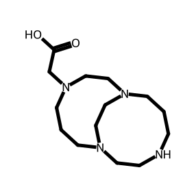 O=C(O)CN1CCCN2CCNCCCN(CC2)CC1